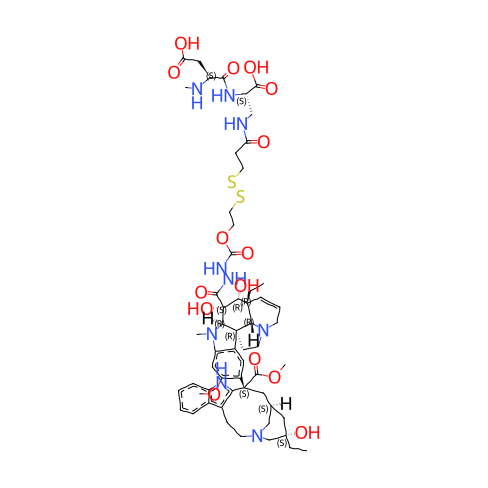 CC[C@]1(O)C[C@H]2CN(CCc3c([nH]c4ccccc34)[C@@](C(=O)OC)(c3cc4c(cc3OC)N(C)[C@H]3[C@@](O)(C(=O)NNC(=O)OCCSSCCC(=O)NC[C@H](NC(=O)[C@H](CC(=O)O)NC)C(=O)O)[C@H](O)[C@]5(CC)C=CCN6CC[C@]43[C@@H]65)C2)C1